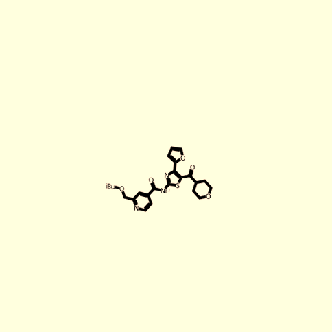 CCC(C)OCc1cc(C(=O)Nc2nc(-c3ccco3)c(C(=O)C3CCOCC3)s2)ccn1